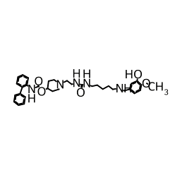 COc1ccc(CNCCCCCNC(=O)NCCN2CCC(OC(=O)Nc3ccccc3-c3ccccc3)CC2)cc1O